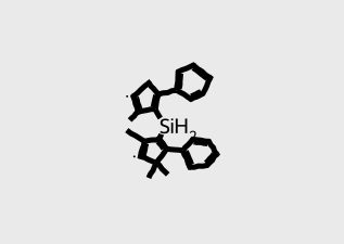 CC1=[C]CC(c2ccccc2)=C1[SiH2]C1=C(c2ccccc2)C(C)(C)[C]=C1C